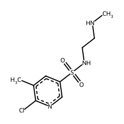 CNCCNS(=O)(=O)c1cnc(Cl)c(C)c1